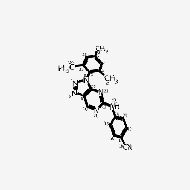 Cc1cc(C)c(-n2nnc3cnc(Nc4ccc(C#N)cc4)nc32)c(C)c1